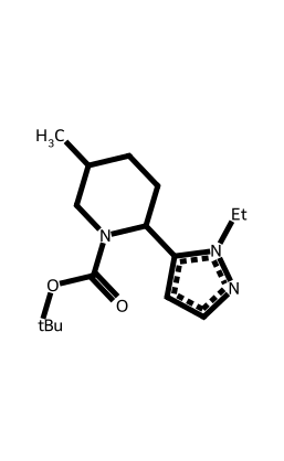 CCn1nccc1C1CCC(C)CN1C(=O)OC(C)(C)C